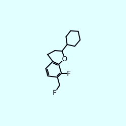 FCc1ccc2c(c1F)OC(C1CCCCC1)CC2